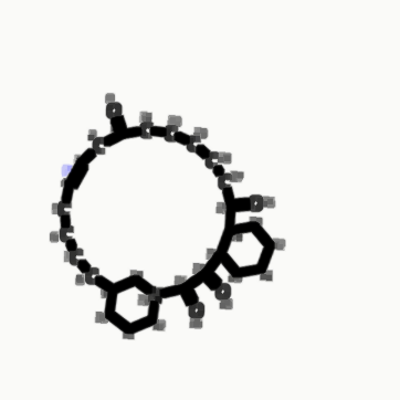 O=C1C/C=C\CCCCC2CCCN(C2)C(=O)C(=O)C2CCCCC2C(=O)CCCCC1